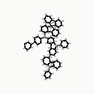 c1ccc(-c2ccc(N(c3ccc4c(c3)c3cc(-c5cccc6c5c5ccccc5n6-c5ccccc5)ccc3n4-c3ccccc3)c3cccc4c3-c3ccccc3C43c4ccccc4-c4ccccc43)cc2)cc1